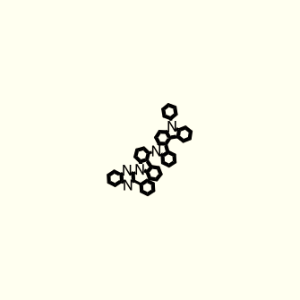 c1ccc(-c2nc3ccccc3nc2-n2c3ccccc3c3c(-n4c5ccccc5c5c6c7ccccc7n(-c7ccccc7)c6ccc54)cccc32)cc1